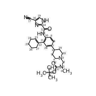 CN(CN1CCC(c2ccc(NC(=O)c3nc(C#N)c[nH]3)c(C3=CCCCC3)c2)CC1)C(=O)OC(C)(C)C